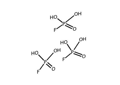 O=P(O)(O)F.O=P(O)(O)F.O=P(O)(O)F